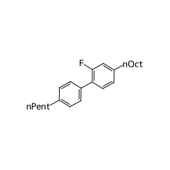 CCCCCCCCc1ccc(-c2ccc(CCCCC)cc2)c(F)c1